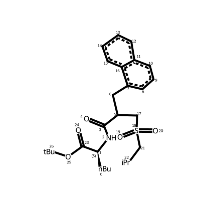 CCCC[C@H](NC(=O)C(Cc1cccc2ccccc12)CS(=O)(=O)CC(C)C)C(=O)OC(C)(C)C